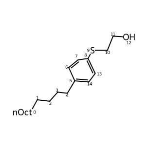 CCCCCCCCCCCCc1ccc(SCCO)cc1